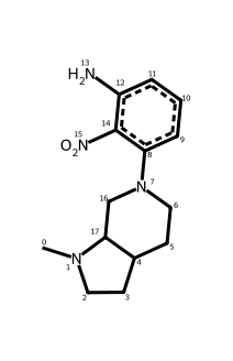 CN1CCC2CCN(c3cccc(N)c3[N+](=O)[O-])CC21